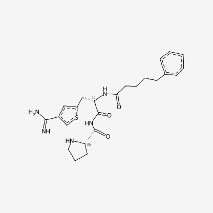 N=C(N)c1csc(C[C@H](NC(=O)CCCCc2ccccc2)C(=O)NC(=O)[C@@H]2CCCN2)c1